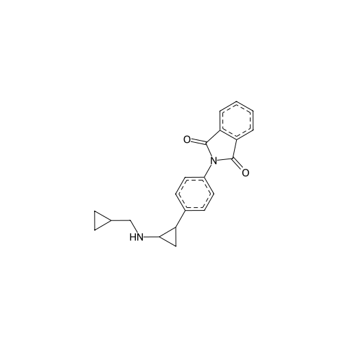 O=C1c2ccccc2C(=O)N1c1ccc(C2CC2NCC2CC2)cc1